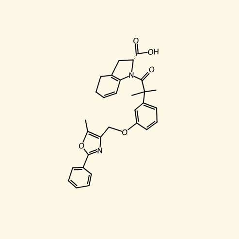 Cc1oc(-c2ccccc2)nc1COc1cccc(C(C)(C)C(=O)N2C3=C(CCC=C3)C[C@@H]2C(=O)O)c1